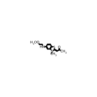 COCCNc1ccc2c(c1)N(C)/C(=C/C(C)=O)S2